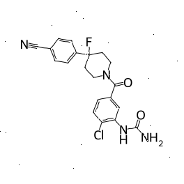 N#Cc1ccc(C2(F)CCN(C(=O)c3ccc(Cl)c(NC(N)=O)c3)CC2)cc1